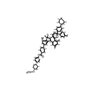 CCCCC[C@H]1CC[C@H](c2ccc(OC(=O)c3ccc(-c4cc(Br)c5c(c4)-c4c(c6c(c7c(F)cc(F)cc47)OC(c4ccc(F)cc4)(c4ccc(N7CCCCC7)cc4)C=C6)C5(C)C)cc3)cc2)CC1